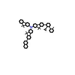 Cc1ccccc1-c1cccc(-c2ccc3c(c2)C(C)(C)c2cc(N(c4ccc5c(c4)C(C)(C)c4ccccc4-5)c4ccc5c(c4)C(C)(C)c4cc(-c6ccc7ccccc7c6)ccc4-5)ccc2-3)c1C1CC1